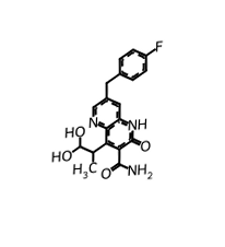 CC(c1c(C(N)=O)c(=O)[nH]c2cc(Cc3ccc(F)cc3)cnc12)C(O)O